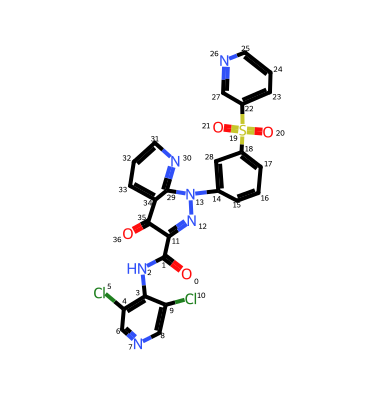 O=C(Nc1c(Cl)cncc1Cl)c1nn(-c2cccc(S(=O)(=O)c3cccnc3)c2)c2ncccc2c1=O